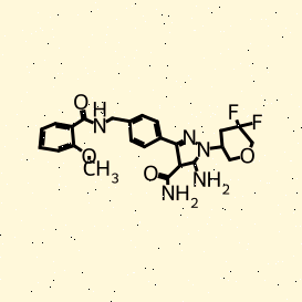 COc1ccccc1C(=O)NCc1ccc(C2=NN(C3COCC(F)(F)C3)C(N)C2C(N)=O)cc1